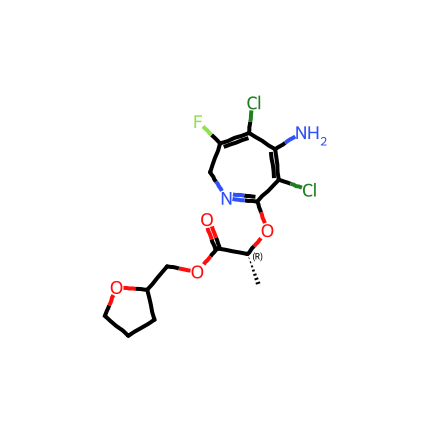 C[C@@H](OC1=NCC(F)=C(Cl)C(N)=C1Cl)C(=O)OCC1CCCO1